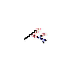 CCCCCCC(CCCC(=O)O)OC(=O)OCCN(CCO)CCN(CC)CC